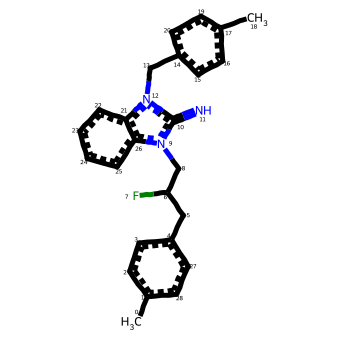 Cc1ccc(CC(F)Cn2c(=N)n(Cc3ccc(C)cc3)c3ccccc32)cc1